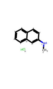 CNc1ccc2ccccc2c1.Cl